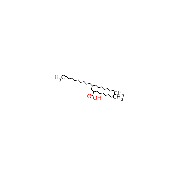 CCCCCCCCCCC(CCCCCCCC)CC(CCCCCCC)C(=O)O